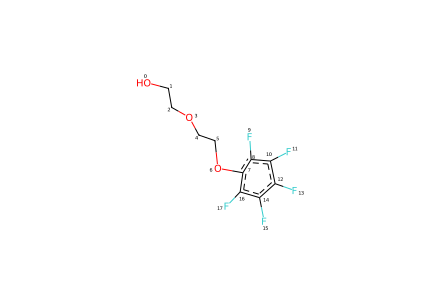 OCCOCCOc1c(F)c(F)c(F)c(F)c1F